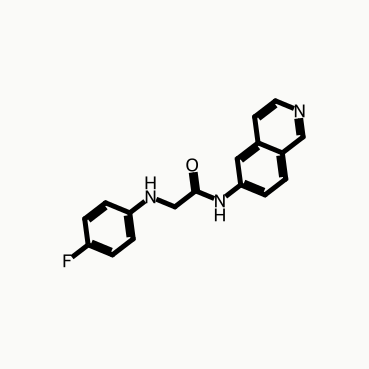 O=C(CNc1ccc(F)cc1)Nc1ccc2cnccc2c1